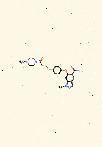 CN1CCN(C(=O)CCOc2ccc(Oc3cc4c(cnn4C)cc3C(N)=O)c(F)c2)CC1